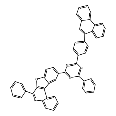 c1ccc(-c2nc(-c3ccc(-c4cc5ccccc5c5ccccc45)cc3)nc(-c3ccc4oc5c(-c6ccccc6)nc6ccccc6c5c4c3)n2)cc1